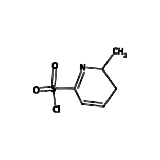 CC1CC=CC(S(=O)(=O)Cl)=N1